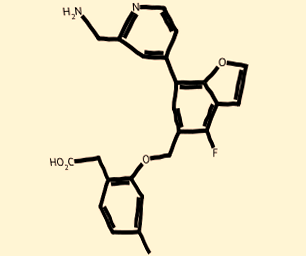 Cc1ccc(CC(=O)O)c(OCc2cc(-c3ccnc(CN)c3)c3occc3c2F)c1